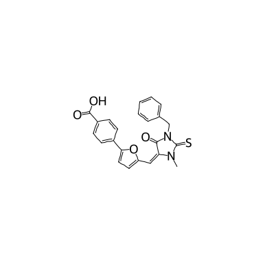 CN1C(=S)N(Cc2ccccc2)C(=O)C1=Cc1ccc(-c2ccc(C(=O)O)cc2)o1